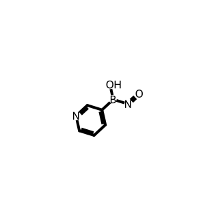 O=NB(O)c1cccnc1